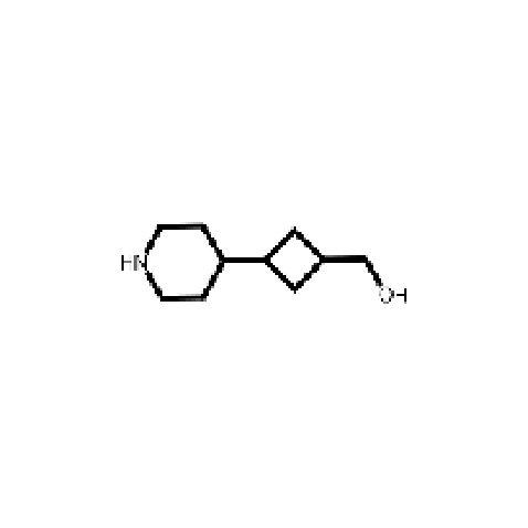 OCC1CC(C2CCNCC2)C1